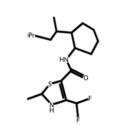 CC(C)CC(C)C1CCCCC1NC(=O)C1=C(C(F)F)NC(C)S1